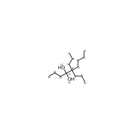 CCCCC(CCC)(CCC)C(O)(O)CCC